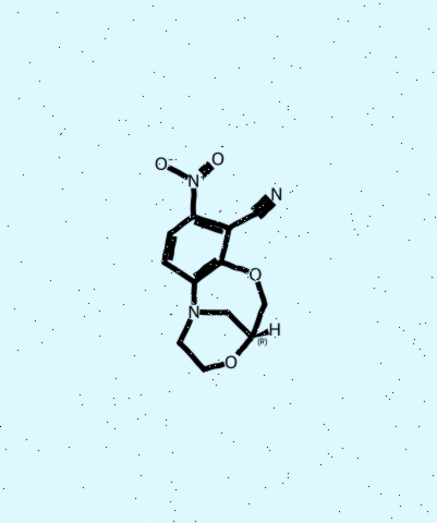 N#Cc1c([N+](=O)[O-])ccc2c1OC[C@H]1CN2CCO1